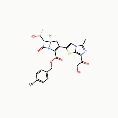 Cc1nc(C(=O)CO)c2sc(C3=C(C(=O)OCc4ccc([N+](=O)[O-])cc4)N4C(=O)[C@H]([C@@H](C)O)[C@H]4C3)cn12